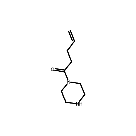 C=CCCC(=O)N1CCNCC1